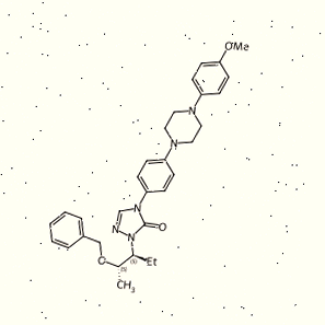 CC[C@@H]([C@H](C)OCc1ccccc1)n1ncn(-c2ccc(N3CCN(c4ccc(OC)cc4)CC3)cc2)c1=O